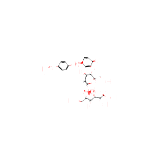 O.O=C(O)[C@H](O)[C@@H](O)[C@H](O)[C@H](O)CO.O=C1C=CC(=O)C=C1.OC[C@H]1O[C@@H](O)[C@H](O)[C@@H](O)[C@@H]1O.Oc1ccc(O)cc1